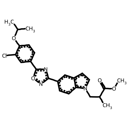 COC(=O)C(C)Cn1ccc2cc(-c3noc(-c4ccc(OC(C)C)c(Cl)c4)n3)ccc21